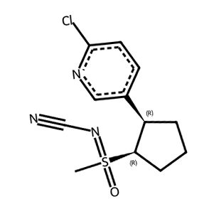 CS(=O)(=NC#N)[C@@H]1CCC[C@@H]1c1ccc(Cl)nc1